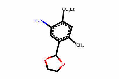 CCOC(=O)c1cc(C)c(C2OCCO2)cc1N